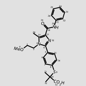 COCCn1c(-c2ccc(SC(C)(C)C(=O)O)cc2)nc(C(=O)Nc2ccccc2)c1C